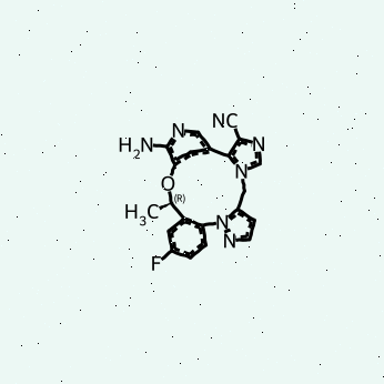 C[C@H]1Oc2cc(cnc2N)-c2c(C#N)ncn2Cc2ccnn2-c2ccc(F)cc21